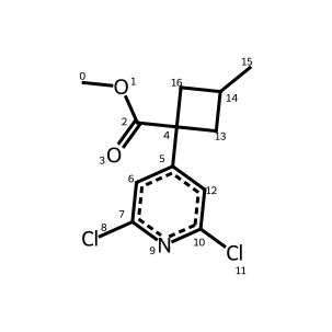 COC(=O)C1(c2cc(Cl)nc(Cl)c2)CC(C)C1